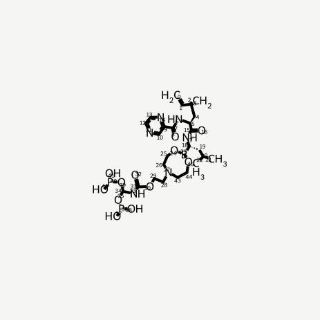 C=CC(=C)C[C@H](NC(=O)c1cnccn1)C(=O)N[C@H](CC(C)C)B1OCCN(CCOC(=O)NC(OP(O)O)OP(O)O)CCO1